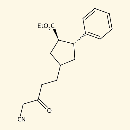 CCOC(=O)[C@@H]1CC(CCC(=O)CC#N)C[C@H]1c1ccccc1